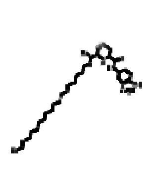 CCC=CCC=CCC=CCC=CCC=CCCCCSC(CC)C(=O)NC(CC(C)C)C(=O)Nc1ccc(O)c(C(=O)O)c1